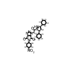 O=C1c2nnn(CC(=O)N3NC(c4ccccc4)=CC3c3ccccc3)c2C(=O)N1c1ccc([N+](=O)[O-])cc1